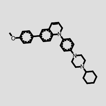 COc1ccc(-c2ccc3c(c2)C=CCN3c2ccc(N3CCN(C4CCCCC4)CC3)cc2)cc1